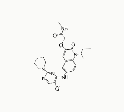 CCC(C)n1c(=O)c(OCC(=O)NC)cc2cc(Nc3nc(N4CCCCC4)ncc3Cl)ccc21